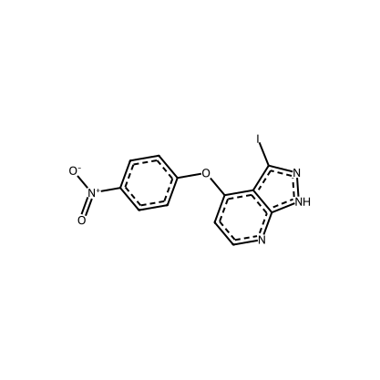 O=[N+]([O-])c1ccc(Oc2ccnc3[nH]nc(I)c23)cc1